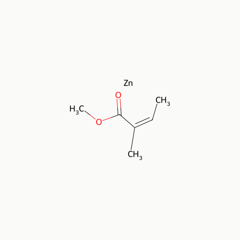 CC=C(C)C(=O)OC.[Zn]